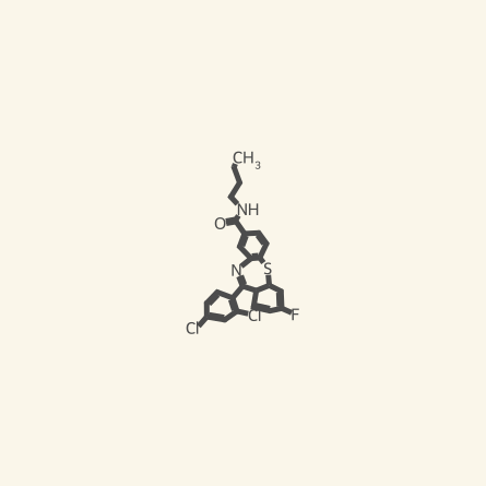 CCCCNC(=O)c1ccc2c(c1)N=C(c1ccc(Cl)cc1Cl)C1C=CC(F)=CC1S2